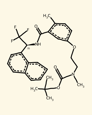 Cc1ccc(OCCN(C)C(=O)OC(C)(C)C)cc1C(=O)N[C@@H](c1cccc2ccccc12)C(F)(F)F